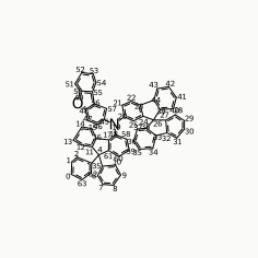 c1ccc(C2(c3ccccc3)c3ccccc3-c3c(N(c4ccc5c(c4)C4(c6ccccc6-c6ccccc64)c4ccccc4-5)c4ccc5oc6ccccc6c5c4)cccc32)cc1